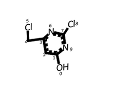 Oc1cc(CCl)nc(Cl)n1